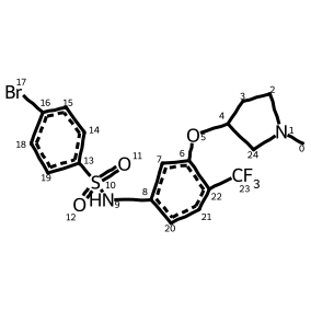 CN1CCC(Oc2cc(NS(=O)(=O)c3ccc(Br)cc3)ccc2C(F)(F)F)C1